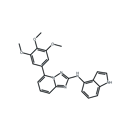 COc1cc(-c2cccc3nc(Nc4cccc5[nH]ccc45)nn23)cc(OC)c1OC